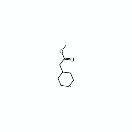 COC(=O)CC1CC[CH]CC1